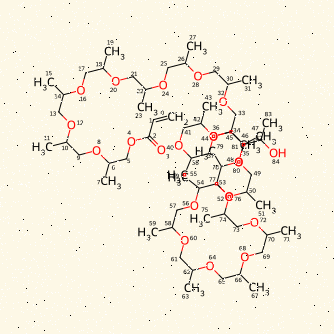 C=CC(=O)OCC(C)OCC(C)OCC(C)OCC(C)OCC(C)OCC(C)OCC(C)OCC(C)OCC(C)OCC(C)OCC(C)OCC(C)OCC(C)OCC(C)OCC(C)OCC(C)OCC(C)OCC(C)OCC(C)OCC(C)O